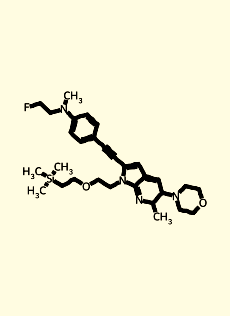 CC1N=c2c(cc(C#Cc3ccc(N(C)CCF)cc3)n2CCOCC[Si](C)(C)C)=CC1N1CCOCC1